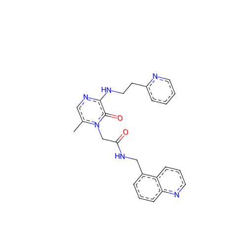 Cc1cnc(NCCc2ccccn2)c(=O)n1CC(=O)NCc1cccc2ncccc12